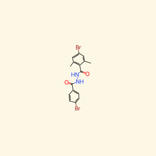 Cc1cc(Br)cc(C)c1C(=O)NNC(=O)c1ccc(Br)cc1